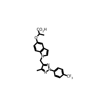 Cc1nn(-c2ccc(C(F)(F)F)cc2)nc1Cn1ccc2cc(OC(C)C(=O)O)ccc21